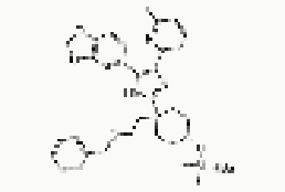 Cc1cccc(-c2nc([C@]3(CCOCc4ccccc4)CC[C@H](O[Si](C)(C)C(C)(C)C)CC3)[nH]c2-c2ccc3c(c2)OCO3)n1